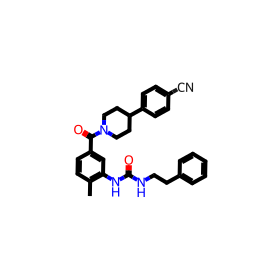 Cc1ccc(C(=O)N2CCC(c3ccc(C#N)cc3)CC2)cc1NC(=O)NCCc1ccccc1